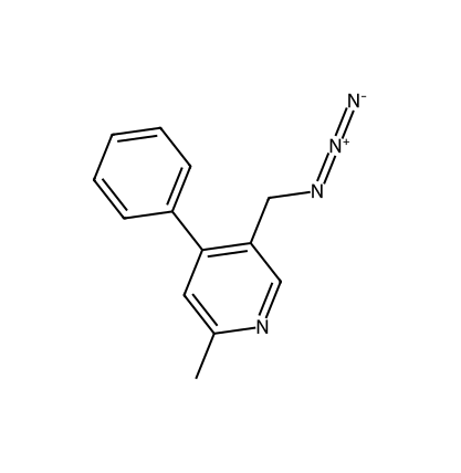 Cc1cc(-c2ccccc2)c(CN=[N+]=[N-])cn1